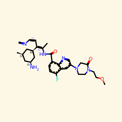 C=N/C=C\C(=C(/C)NC(=O)c1ccc(F)c2cc(N3CCN(CCOC)C(=O)C3)cnc12)[C@@H]1C[C@H](C)C[C@H](N)C1